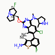 CC1NCCC1N(C)c1nc(OC[C@@]23CCCN2C[C@H](F)C3)nc2c(C#N)c(-c3ccc(F)c4sc(N)c(C#N)c34)c(Cl)cc12